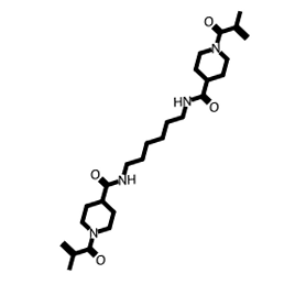 C=C(C)C(=O)N1CCC(C(=O)NCCCCCCNC(=O)C2CCN(C(=O)C(=C)C)CC2)CC1